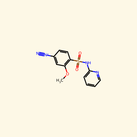 COc1cc([N+]#N)ccc1S(=O)(=O)Nc1ccccn1